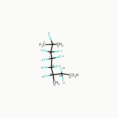 CC(F)(C(F)(F)F)C(F)(F)C(F)(F)C(F)(F)C(C)(F)C(F)(F)C(=O)O